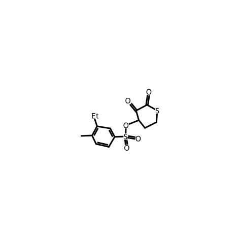 CCc1cc(S(=O)(=O)OC2CCSC(=O)C2=O)ccc1C